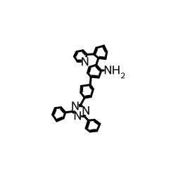 Nc1cc(-c2ccc(-c3nc(-c4ccccc4)nc(-c4ccccc4)n3)cc2)ccc1-c1ccccc1-c1ccccn1